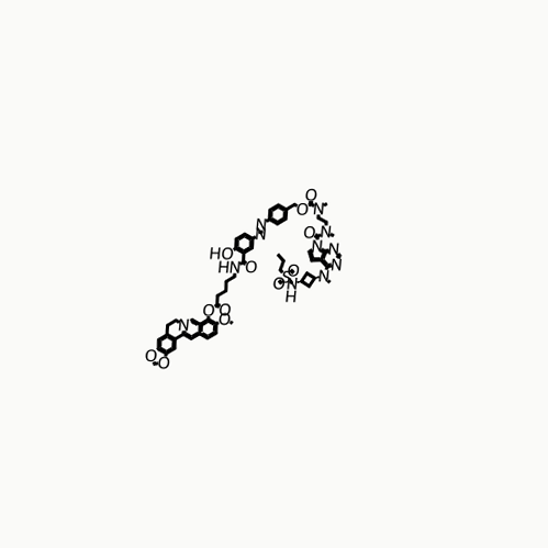 CCCS(=O)(=O)N[C@H]1C[C@@H](N(C)c2ncnc3c2ccn3C(=O)N(C)CCN(C)C(=O)OCc2ccc(/N=N/c3ccc(O)c(C(=O)NCCCCC(=O)Oc4c(OC)ccc5cc6[n+](cc45)CCc4cc5c(cc4-6)OCO5)c3)cc2)C1